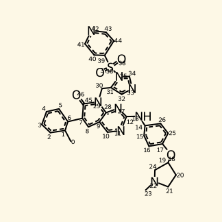 Cc1ccccc1-c1cc2cnc(Nc3ccc(OC4CCN(C)C4)cc3)nc2n(Cc2cncn2S(=O)(=O)c2ccncc2)c1=O